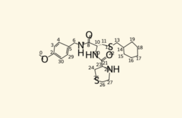 COc1ccc(CNC(=O)[C@H](CSCC2CCCCC2)NC(=O)C2CSCCN2)cc1